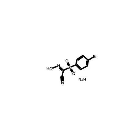 N#CC(=NO)S(=O)(=O)c1ccc(Br)cc1.[NaH]